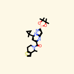 CC1c2ccsc2CCN1C(=O)c1cc(C2(C)CC2)n2nc(B3OC(C)(C)C(C)(C)O3)cc2n1